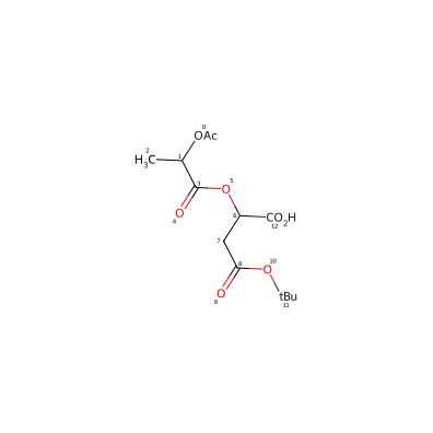 CC(=O)OC(C)C(=O)OC(CC(=O)OC(C)(C)C)C(=O)O